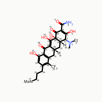 CCN(C)[C@@H]1C(O)=C(C(N)=O)C(=O)[C@@]2(O)C(O)=C3C(=O)c4c(O)cc(CCCNC)c(C(F)(F)F)c4C[C@H]3C[C@@H]12